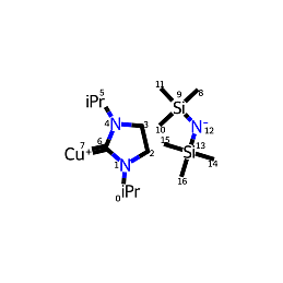 CC(C)N1CCN(C(C)C)[C]1=[Cu+].C[Si](C)(C)[N-][Si](C)(C)C